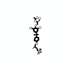 CC(=O)O[C@H](CCl)COc1c(Cl)cc(C(C)(C)c2ccc(OC[C@H](C)CCS(C)(=O)=O)cc2)cc1Cl